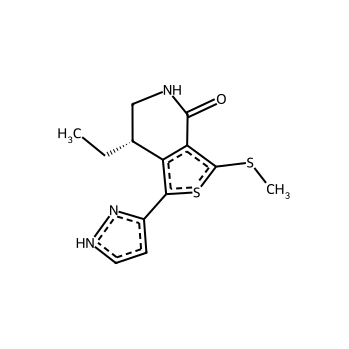 CC[C@@H]1CNC(=O)c2c(SC)sc(-c3cc[nH]n3)c21